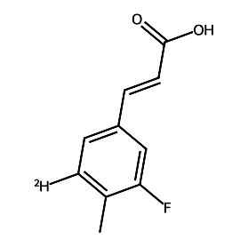 [2H]c1cc(/C=C/C(=O)O)cc(F)c1C